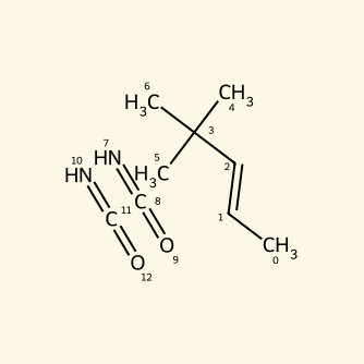 CC=CC(C)(C)C.N=C=O.N=C=O